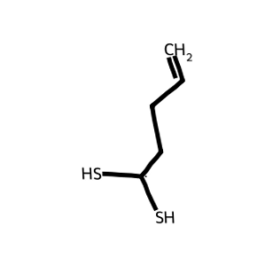 C=CCC[C](S)S